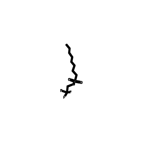 CCCCCCCCS(=O)(=O)OCC(F)(F)F